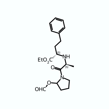 CCOC(=O)[C@H](CCc1ccccc1)N[C@@H](C)C(=O)N1CCCC1OC=O